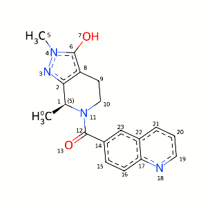 C[C@H]1c2nn(C)c(O)c2CCN1C(=O)c1ccc2ncccc2c1